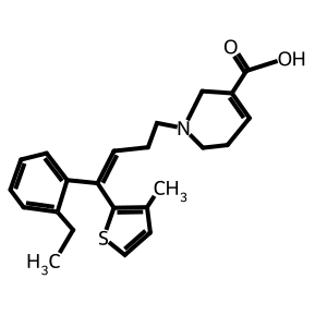 CCc1ccccc1C(=CCCN1CCC=C(C(=O)O)C1)c1sccc1C